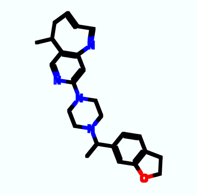 CC1C/C=C/C=N\c2cc(N3CCN(C(C)c4ccc5c(c4)OCC5)CC3)ncc21